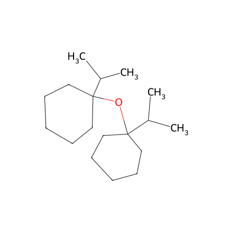 CC(C)C1(OC2(C(C)C)CCCCC2)CCCCC1